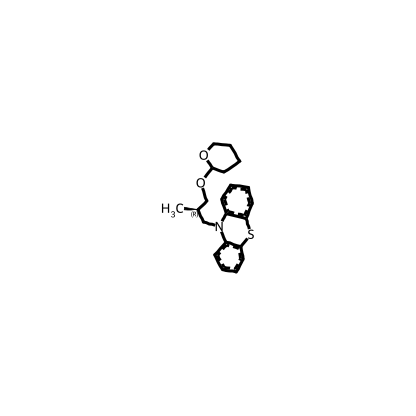 C[C@@H](COC1CCCCO1)CN1c2ccccc2Sc2ccccc21